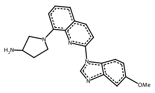 COc1ccc2c(c1)ncn2-c1ccc2cccc(N3CCC(N)C3)c2n1